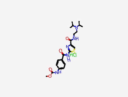 COC(=O)Nc1ccc(C(=O)Nc2nc(C(=O)NCCN(C(C)C)C(C)C)cs2)cc1.Cl